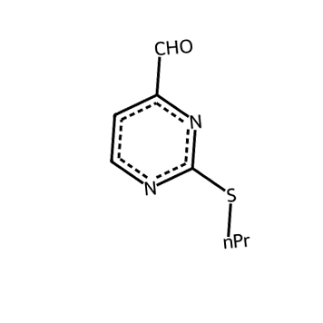 CCCSc1nccc(C=O)n1